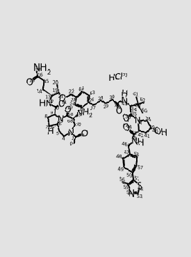 CC(=O)N1CC[C@H]2CC[C@@H](C(=O)N[C@@H](CCC(N)=O)[C@@H](C)OCc3ccc(CCCCC(=O)N[C@H](C(=O)N4C[C@H](O)C[C@H]4C(=O)NCc4ccc(-c5scnc5C)cc4)C(C)(C)C)cc3)N2C(=O)[C@@H](N)C1.Cl